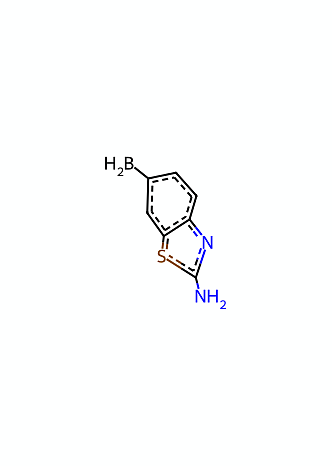 Bc1ccc2nc(N)sc2c1